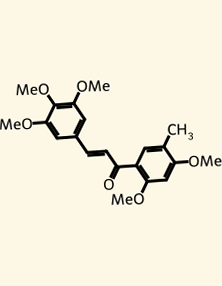 COc1cc(OC)c(C(=O)/C=C/c2cc(OC)c(OC)c(OC)c2)cc1C